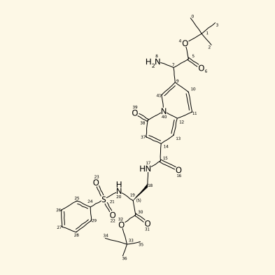 CC(C)(C)OC(=O)C(N)c1ccc2cc(C(=O)NC[C@H](NS(=O)(=O)c3ccccc3)C(=O)OC(C)(C)C)cc(=O)n2c1